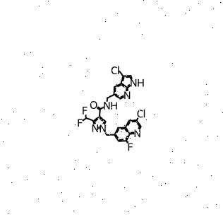 O=C(NCc1cnc2[nH]cc(Cl)c2c1)c1cn(Cc2cc(F)c3ncc(Cl)cc3c2)nc1C(F)F